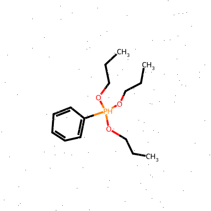 CCCO[PH](OCCC)(OCCC)c1ccccc1